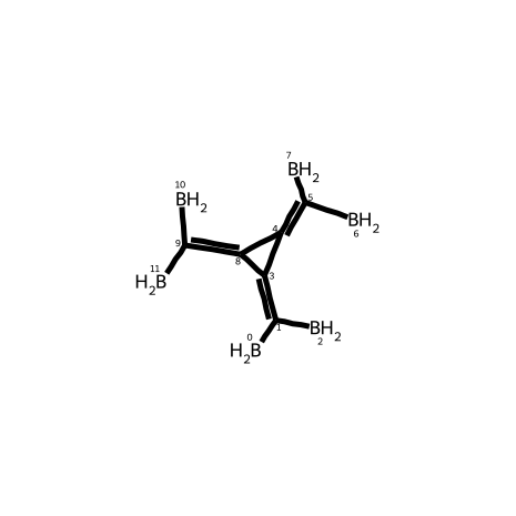 BC(B)=C1C(=C(B)B)C1=C(B)B